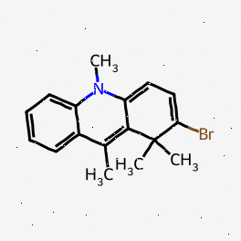 CC1=C2C(=CC=C(Br)C2(C)C)N(C)c2ccccc21